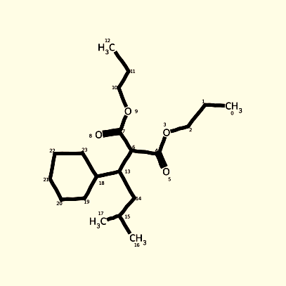 CCCOC(=O)C(C(=O)OCCC)C(CC(C)C)C1CCCCC1